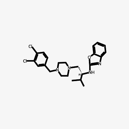 CC(C)[C@H](CN1CCN(Cc2ccc(Cl)c(Cl)c2)CC1)Nc1nc2ccccc2o1